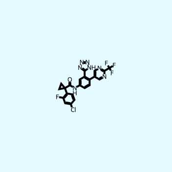 O=C(Nc1ccc(-c2cnc(C(F)(F)F)nc2)c(-c2nnn[nH]2)c1)C1(c2ccc(Cl)cc2F)CC1